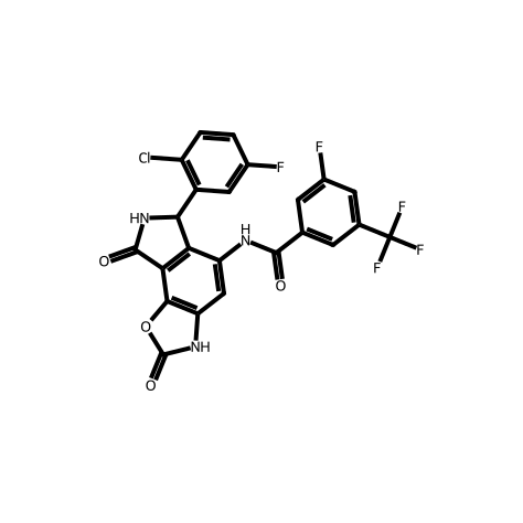 O=C(Nc1cc2[nH]c(=O)oc2c2c1C(c1cc(F)ccc1Cl)NC2=O)c1cc(F)cc(C(F)(F)F)c1